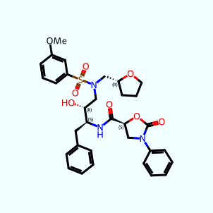 COc1cccc(S(=O)(=O)N(C[C@H]2CCCO2)C[C@@H](O)[C@H](Cc2ccccc2)NC(=O)[C@@H]2CN(c3ccccc3)C(=O)O2)c1